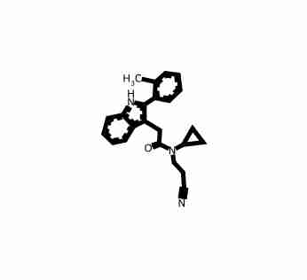 Cc1ccccc1-c1[nH]c2ccccc2c1CC(=O)N(CCC#N)C1CC1